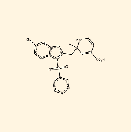 CC1(Cc2cc3cc(Cl)ccc3n2S(=O)(=O)c2ccccc2)C=C(C(=O)O)C=CN1